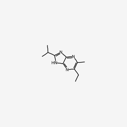 CCc1nc2[nH]c(C(C)C)nc2nc1C